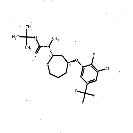 CN(C(=O)OC(C)(C)C)[C@H]1CCCC[C@H](Oc2cc(C(F)(F)F)cc(Cl)c2F)C1